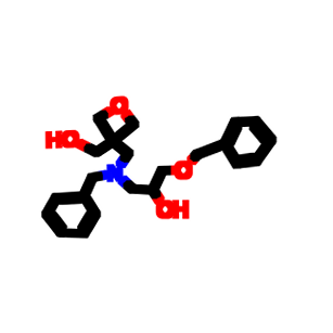 OCC1(CN(Cc2ccccc2)CC(O)COCc2ccccc2)COC1